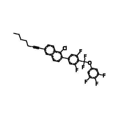 CCCCCC#Cc1ccc2c(Cl)c(-c3cc(F)c(C(F)(F)Oc4cc(F)c(F)c(F)c4)c(F)c3)ccc2c1